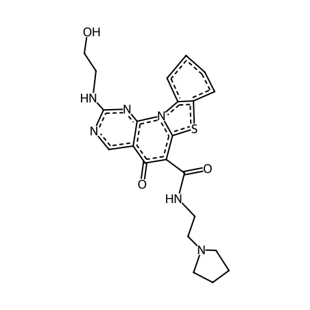 O=C(NCCN1CCCC1)c1c(=O)c2cnc(NCCO)nc2n2c1sc1ccccc12